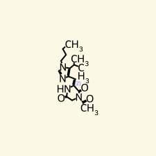 CCCCn1cnc(/C=C2\NC(=O)CN(C(C)=O)C2=O)c1C(C)C